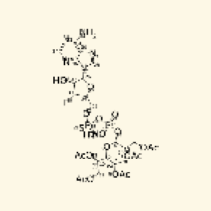 CC(=O)OC[C@@H](OC(C)=O)C(OC([C@H](C)OC(C)=O)[C@@H](COC(C)=O)OC(C)=O)OP(=O)(O)OP(O)(=S)OCC1OC(n2cnc3c(N)ncnc32)C(O)C1F